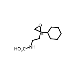 O=C(O)NCC[C@@]1(C2CCCCC2)CO1